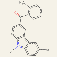 CC(=O)c1ccc2c(c1)c1cc(C(=O)c3ccccc3C)ccc1n2C